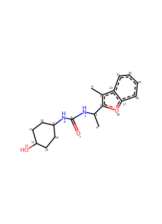 Cc1c(C(C)NC(=O)NC2CCC(O)CC2)oc2ccccc12